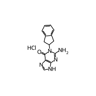 Cl.Nc1nc2[nH]cnc2c(=O)n1C1Cc2ccccc2C1